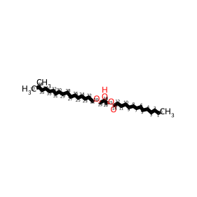 CCCCCCCCCCCCCC(=O)OCC(O)COCCCCCCCCCCCCCCCC(C)C